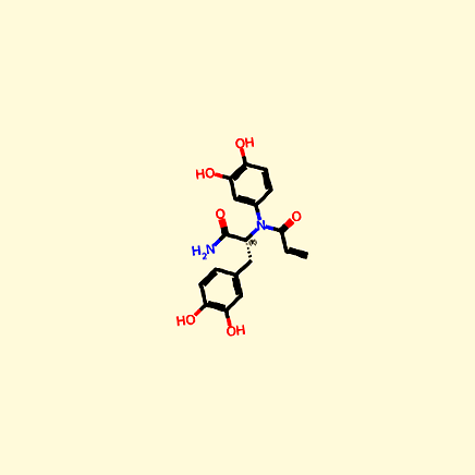 C=CC(=O)N(c1ccc(O)c(O)c1)[C@H](Cc1ccc(O)c(O)c1)C(N)=O